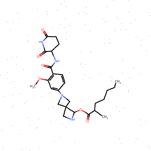 CCCCCC(C)C(=O)OC1NCC12CN(c1ccc(C(=O)NC3CCC(=O)NC3=O)c(OC)c1)C2